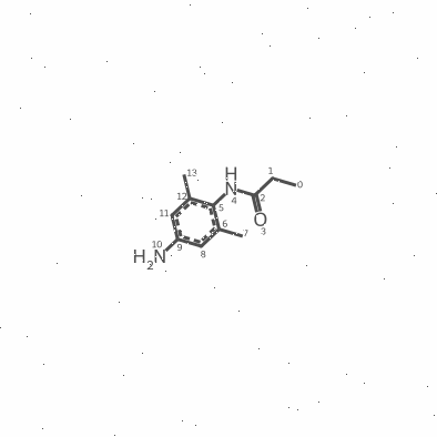 CCC(=O)Nc1c(C)cc(N)cc1C